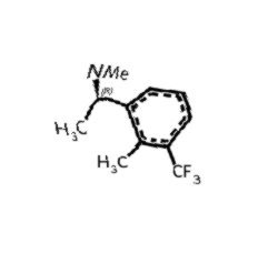 CN[C@H](C)c1cccc(C(F)(F)F)c1C